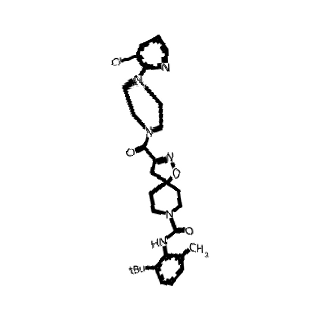 Cc1cccc(C(C)(C)C)c1NC(=O)N1CCC2(CC1)CC(C(=O)N1CCN(c3ncccc3Cl)CC1)=NO2